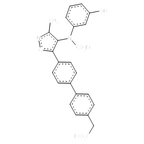 CCOC(=O)Cc1ccc(-c2ccc(-c3onc(C)c3N(C(=O)OCC)c3cccc(O)c3)cc2)cc1